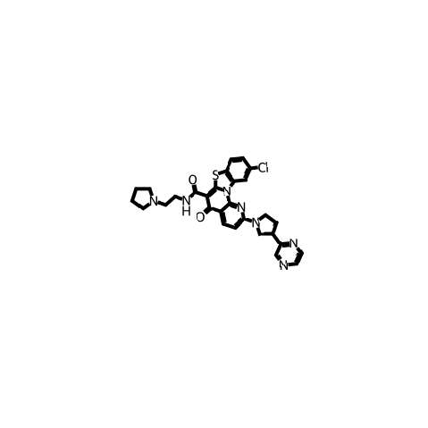 O=C(NCCN1CCCC1)c1c(=O)c2ccc(N3CCC(c4cnccn4)C3)nc2n2c1sc1ccc(Cl)cc12